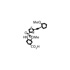 COc1ccccc1C#Cc1nc(S(=O)(=O)Nc2ccc(C(=O)O)cc2OC)cs1